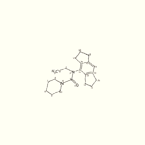 CCN(C(=O)N1CCCCC1)c1c2c(cc3c1CCC3)CCC2